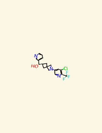 OC(c1cccnc1)C1CC2(C1)CN(c1cnc(C(F)(F)F)c(Cl)c1)C2